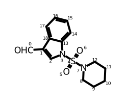 O=Cc1cn(S(=O)(=O)N2CCCCC2)c2ccccc12